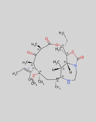 C/C=C(\C)[C@@H]1[C@@H](C)C(=O)[C@@H](C)C(=O)O[C@H](CC)[C@@]2(C)OC(=O)N3CCN[C@H]([C@H](C)[C@@H]32)[C@H](C)C[C@@]1(C)OC